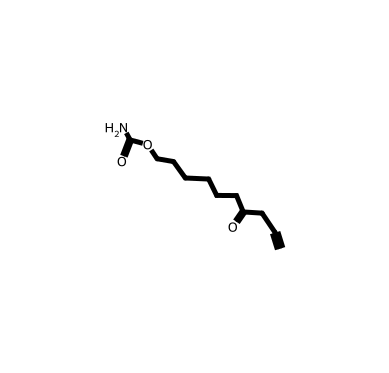 C#CCC(=O)CCCCCCOC(N)=O